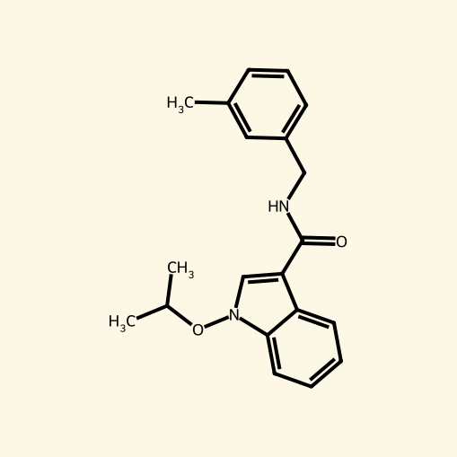 Cc1cccc(CNC(=O)c2cn(OC(C)C)c3ccccc23)c1